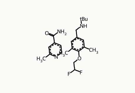 Cc1cc(C(N)=O)ccn1.Cc1cc(CNC(C)(C)C)cc(C)c1OCC(F)F